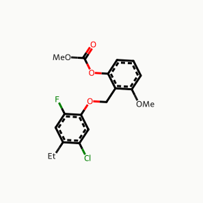 CCc1cc(F)c(OCc2c(OC)cccc2OC(=O)OC)cc1Cl